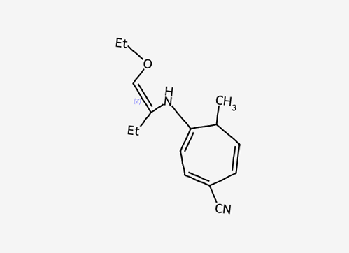 CCO/C=C(/CC)NC1=CC=C(C#N)C=CC1C